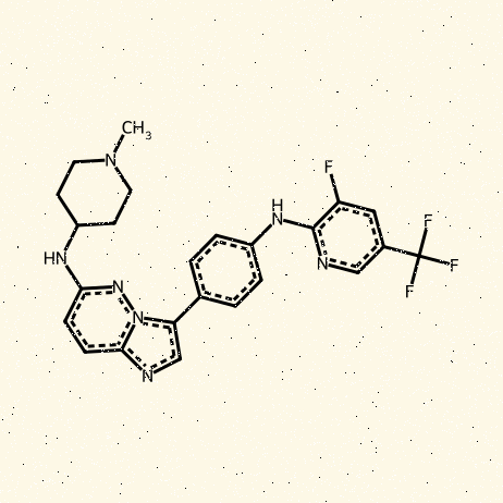 CN1CCC(Nc2ccc3ncc(-c4ccc(Nc5ncc(C(F)(F)F)cc5F)cc4)n3n2)CC1